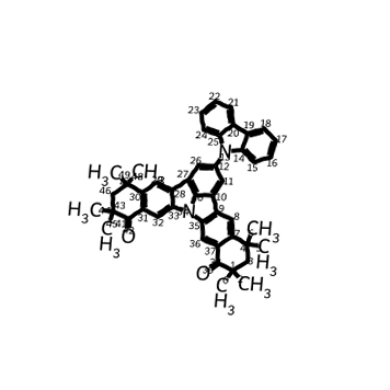 CC1(C)CC(C)(C)c2cc3c4cc(-n5c6ccccc6c6ccccc65)cc5c6cc7c(cc6n(c3cc2C1=O)c45)C(=O)C(C)(C)CC7(C)C